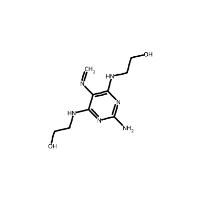 C=Nc1c(NCCO)nc(N)nc1NCCO